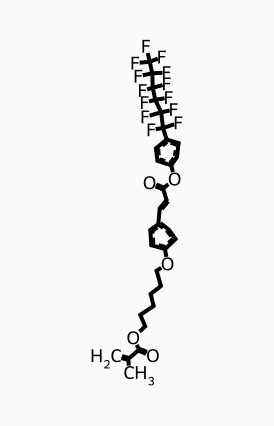 C=C(C)C(=O)OCCCCCCOc1ccc(/C=C/C(=O)Oc2ccc(C(F)(F)C(F)(F)C(F)(F)C(F)(F)C(F)(F)C(F)(F)F)cc2)cc1